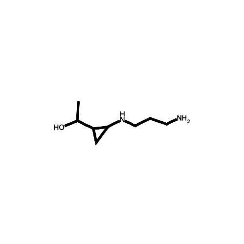 CC(O)C1CC1NCCCN